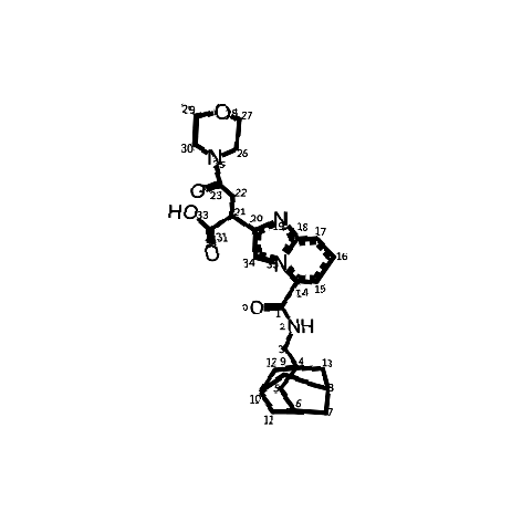 O=C(NCC12CC3CC(CC(C3)C1)C2)c1cccc2nc(C(CC(=O)N3CCOCC3)C(=O)O)cn12